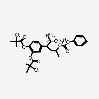 CCC(C)(C)C(=O)Oc1ccc(C(CC(C)OC(=O)Oc2ccccc2)[C@H](N)C(=O)O)cc1OC(=O)C(C)(C)CC